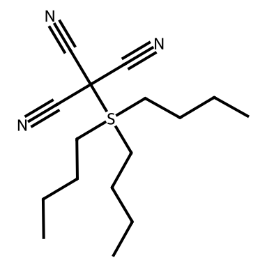 CCCCS(CCCC)(CCCC)C(C#N)(C#N)C#N